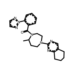 CC1CCN(c2ncc3c(n2)CCCC3)CCN1C(=O)c1ccccc1-n1nccn1